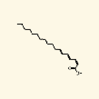 CCCCCCCCCCCC=CC=C/C=C\C(=O)O